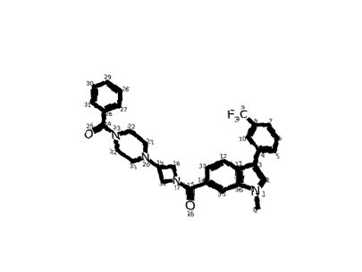 Cn1cc(-c2cccc(C(F)(F)F)c2)c2ccc(C(=O)N3CC(N4CCN(C(=O)c5ccccc5)CC4)C3)cc21